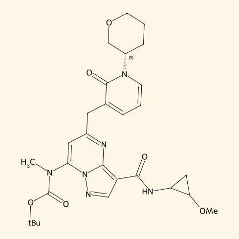 COC1CC1NC(=O)c1cnn2c(N(C)C(=O)OC(C)(C)C)cc(Cc3cccn([C@H]4CCCOC4)c3=O)nc12